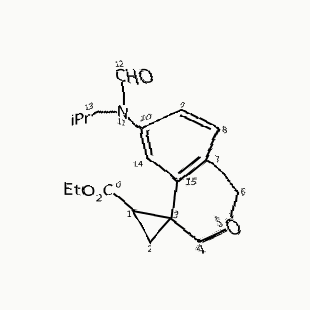 CCOC(=O)C1CC12COCc1ccc(N(C=O)C(C)C)cc12